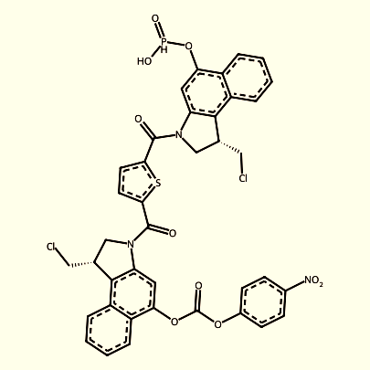 O=C(Oc1ccc([N+](=O)[O-])cc1)Oc1cc2c(c3ccccc13)[C@H](CCl)CN2C(=O)c1ccc(C(=O)N2C[C@@H](CCl)c3c2cc(O[PH](=O)O)c2ccccc32)s1